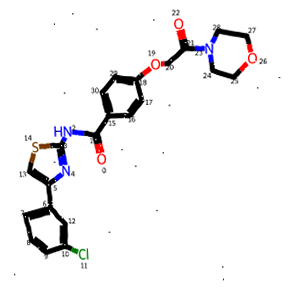 O=C(Nc1nc(-c2cccc(Cl)c2)cs1)c1ccc(OCC(=O)N2CCOCC2)cc1